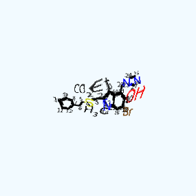 CCOC(=O)c1c(CSCCc2ccccc2)n(C)c2cc(Br)c(O)c(Cn3ccnc3)c12